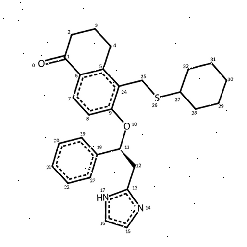 O=C1CCCc2c1ccc(O[C@@H](Cc1ncc[nH]1)c1ccccc1)c2CSC1CCCCC1